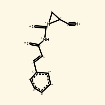 N#CC1CN1C(=O)NC(=O)C=Cc1ccccc1